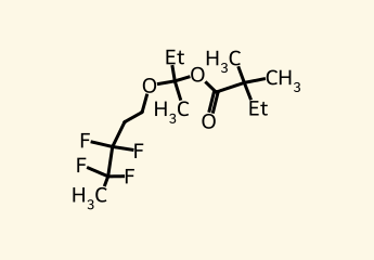 CCC(C)(OCCC(F)(F)C(C)(F)F)OC(=O)C(C)(C)CC